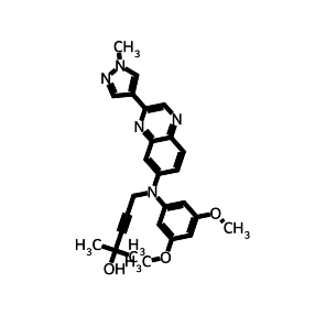 COc1cc(OC)cc(N(CC#CC(C)(C)O)c2ccc3ncc(-c4cnn(C)c4)nc3c2)c1